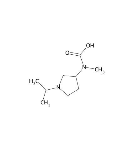 CC(C)N1CCC(N(C)C(=O)O)C1